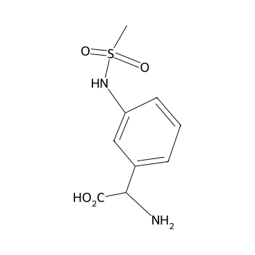 CS(=O)(=O)Nc1cccc(C(N)C(=O)O)c1